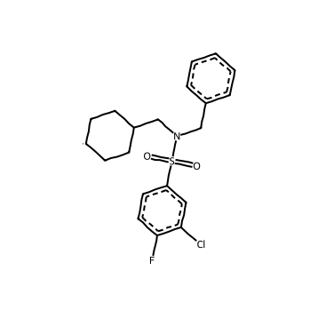 O=S(=O)(c1ccc(F)c(Cl)c1)N(Cc1ccccc1)CC1CC[CH]CC1